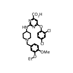 CCOc1cc(CN2CCC(Nc3nc(Oc4ccc(Cl)cc4Cl)cc(C(=O)O)n3)CC2)ccc1OC